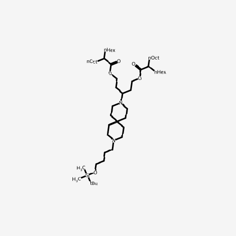 CCCCCCCCC(CCCCCC)C(=O)OCCC(CCOC(=O)C(CCCCCC)CCCCCCCC)N1CCC2(CCN(CCCCO[Si](C)(C)C(C)(C)C)CC2)CC1